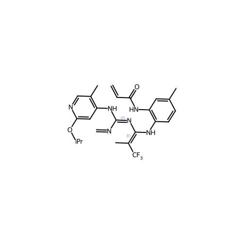 C=CC(=O)Nc1cc(C)ccc1NC(/N=C(\N=C)Nc1cc(OC(C)C)ncc1C)=C(/C)C(F)(F)F